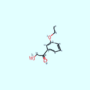 CCOc1cccc(C(=O)CO)c1